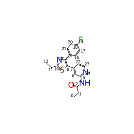 CCC(=O)Nc1cc(-c2sc(CC)nc2-c2ccc(F)cc2)ccn1